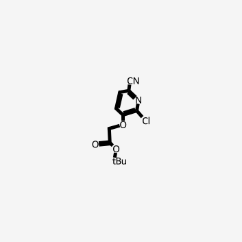 CC(C)(C)OC(=O)COc1ccc(C#N)nc1Cl